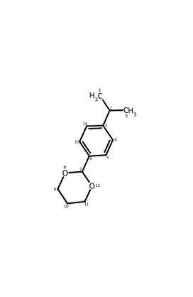 CC(C)c1ccc(C2OCCCO2)cc1